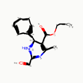 CCOC(=O)C1=C(C)N=C(C=O)NC1c1ccccc1